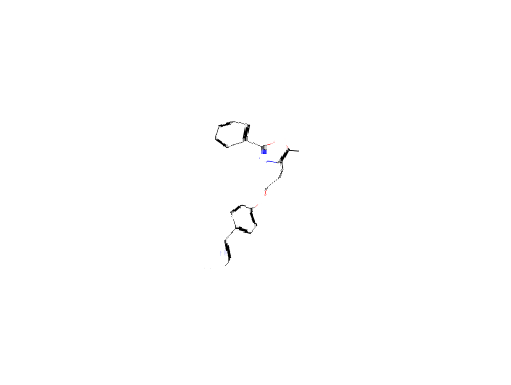 Cc1oc(-c2ccccc2)nc1CCOc1ccc(/C=C/C(=O)O)cc1